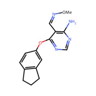 CO/N=C\c1c(N)ncnc1Oc1ccc2c(c1)CCC2